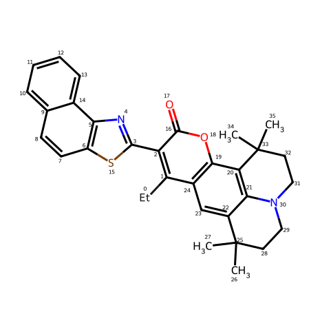 CCc1c(-c2nc3c(ccc4ccccc43)s2)c(=O)oc2c3c4c(cc12)C(C)(C)CCN4CCC3(C)C